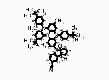 Cc1cc2c3c(c1)N(c1ccc(C(C)(C)C)cc1C)c1ccc(C(C)(C)C)cc1B3c1ccc(N3c4ccc(C#N)cc4C4(C)CCCC34C)cc1N2c1ccc(C(C)(C)C)cc1